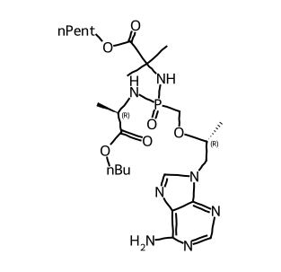 CCCCCOC(=O)C(C)(C)NP(=O)(CO[C@H](C)Cn1cnc2c(N)ncnc21)N[C@H](C)C(=O)OCCCC